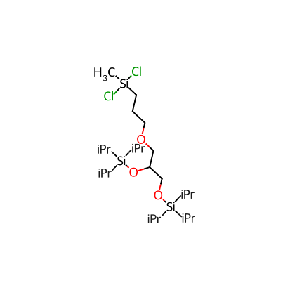 CC(C)[Si](OCC(COCCC[Si](C)(Cl)Cl)O[Si](C(C)C)(C(C)C)C(C)C)(C(C)C)C(C)C